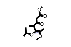 C=C(C(=O)CC(=O)OC)/C(OC(C)C)=C(\C)OC